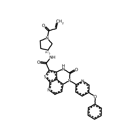 C=CC(=O)N1CC[C@@H](NC(=O)c2sc3nccc4c3c2NC(=O)N4c2ccc(Oc3ccccc3)cn2)C1